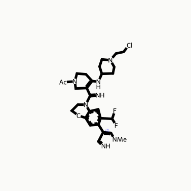 CN/C=C(\C=N)c1cc2c(cc1C(F)F)N(C(=N)C1=C(NC3CCN(CCCl)CC3)CCN(C(C)=O)C1)CCC2